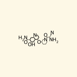 N#CC(N)C(=O)N1CCCC(Oc2ccnc3cc(C(N)=O)c(O)cc23)C1